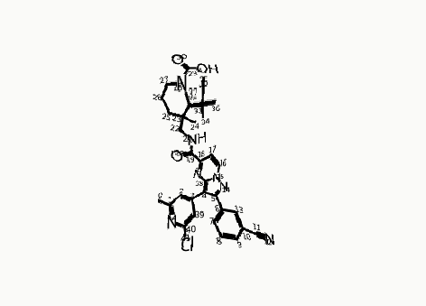 Cc1cc(-c2c(-c3cccc(C#N)c3)nn3ccc(C(=O)NCC4(C)CCCN(C(=O)O)C4C(C)(C)C)nc23)cc(Cl)n1